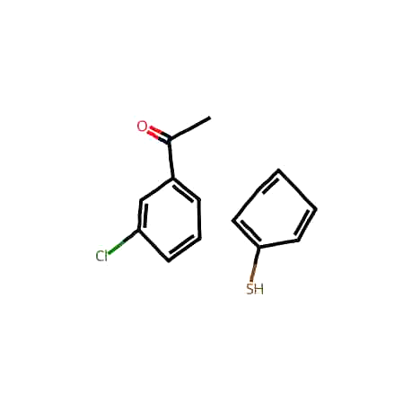 CC(=O)c1cccc(Cl)c1.Sc1ccccc1